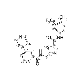 Cc1ccc(NC(=O)c2cnc(CNC(=O)c3cc(-c4ccncc4)ncn3)s2)cc1C(F)(F)F